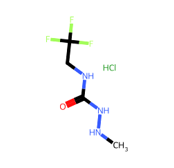 CNNC(=O)NCC(F)(F)F.Cl